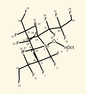 CCCCCCCC[O][Sn]([C](F)(F)C(F)(F)C(F)(F)CF)([C](F)(F)C(F)(F)C(F)(F)CF)[C](F)(F)C(F)(F)C(F)(F)CF